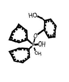 Oc1ccccc1OP(O)(O)(c1ccccc1)c1ccccc1